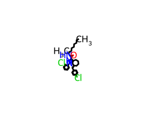 CCCCCCC[C@@H](C)NC(=O)c1nn(-c2ccccc2Cl)c2c1CCCC/C2=C\c1ccc(Cl)cc1